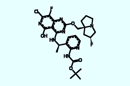 C[C@@H](Nc1nc(OC[C@@]23CCCN2C[C@H](F)C3)nc2c(F)c(Cl)nc(O)c12)c1cccnc1NC(=O)OC(C)(C)C